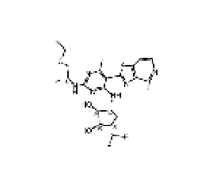 CCOC[C@@H](C)Nc1nc(C)c(-c2nc3c(C)nccc3s2)c(N[C@@H]2C[C@H](C(F)F)[C@@H](O)[C@H]2O)n1